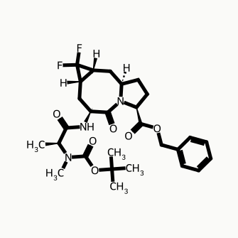 C[C@@H](C(=O)N[C@H]1C[C@H]2[C@@H](C[C@H]3CC[C@@H](C(=O)OCc4ccccc4)N3C1=O)C2(F)F)N(C)C(=O)OC(C)(C)C